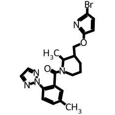 Cc1ccc(-n2nccn2)c(C(=O)N2CCCC(COc3ccc(Br)cn3)C2C)c1